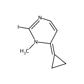 CN1C(I)=NC=CC1=C1CC1